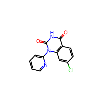 O=c1[nH]c(=O)n(-c2ccccn2)c2cc(Cl)ccc12